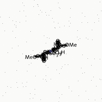 COCCOCCOc1ccc(C(=O)Nc2ccc(/C=C/c3ccc(NC(=O)c4ccc(OCCOCCOC)c(S(=O)(=O)N5CCOCC5)c4)cc3S(=O)(=O)O)c(S(=O)(=O)O)c2)cc1S(=O)(=O)N1CCOCC1